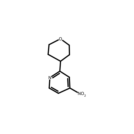 O=[N+]([O-])c1ccnc(C2CCOCC2)c1